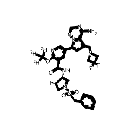 [2H]C([2H])([2H])Oc1ncc(-c2cc(CN3CC(F)(F)C3)c3c(N)ncnn23)cc1C(=O)N[C@@H]1CN(S(=O)(=O)Cc2ccccc2)C[C@@H]1F